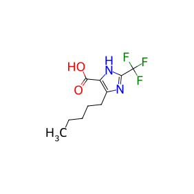 CCCCCc1nc(C(F)(F)F)[nH]c1C(=O)O